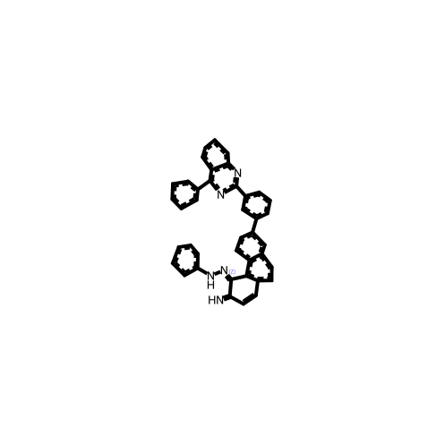 N=C1C=Cc2ccc3cc(-c4cccc(-c5nc(-c6ccccc6)c6ccccc6n5)c4)ccc3c2/C1=N/Nc1ccccc1